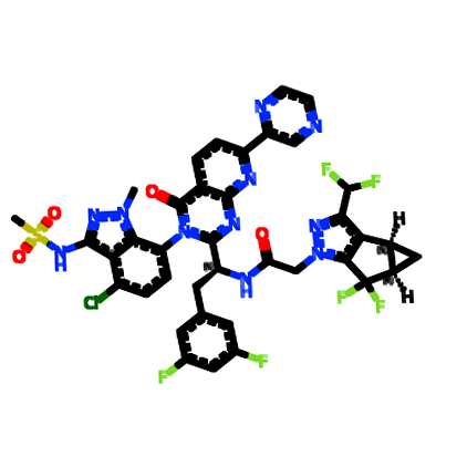 Cn1nc(NS(C)(=O)=O)c2c(Cl)ccc(-n3c([C@H](Cc4cc(F)cc(F)c4)NC(=O)Cn4nc(C(F)F)c5c4C(F)(F)[C@@H]4C[C@H]54)nc4nc(-c5cnccn5)ccc4c3=O)c21